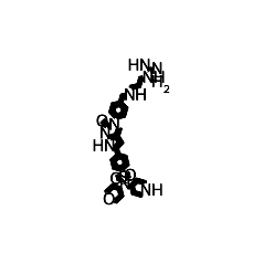 N=C(N)NCCCNCc1ccc(-n2cc3cc(-c4ccc(S(=O)(=O)N(C5CCNCC5)C5CCOCC5)cc4)[nH]c3nc2=O)cc1